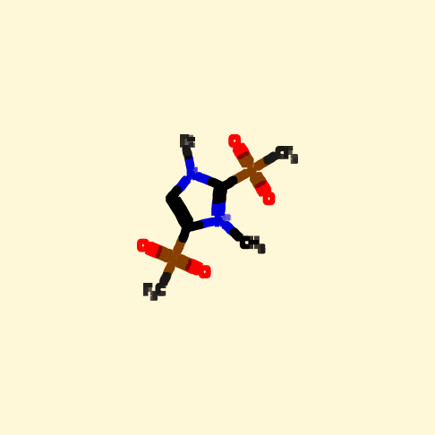 CCn1cc(S(=O)(=O)C(F)(F)F)[n+](C)c1S(=O)(=O)C(F)(F)F